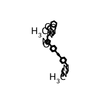 C[C@H](OC1CCCCO1)c1nccn1Cc1cc(-c2ccc(C#Cc3ccc(CN4CCN(C)CC4)cc3)cc2)on1